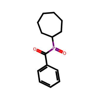 O=C(c1ccccc1)[P](=O)C1CCCCCC1